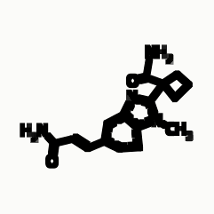 Cn1c(C2(C(N)=O)CCC2)nc2cc(C=CC(N)=O)ccc21